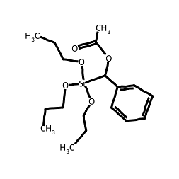 CCCO[Si](OCCC)(OCCC)C(OC(C)=O)c1ccccc1